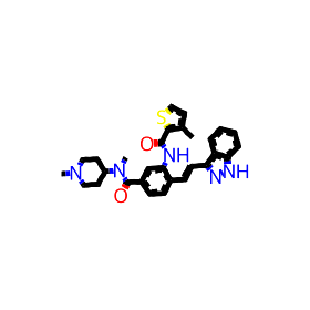 Cc1ccsc1C(=O)Nc1cc(C(=O)N(C)C2CCN(C)CC2)ccc1C=Cc1n[nH]c2ccccc12